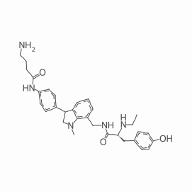 CCN[C@@H](Cc1ccc(O)cc1)C(=O)NCc1cccc2c1N(C)CC2c1ccc(NC(=O)CCCN)cc1